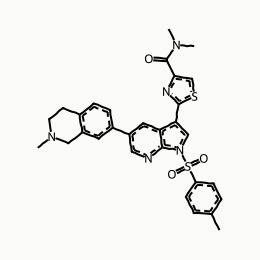 Cc1ccc(S(=O)(=O)n2cc(-c3nc(C(=O)N(C)C)cs3)c3cc(-c4ccc5c(c4)CN(C)CC5)cnc32)cc1